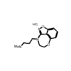 CNCCCN1CCOc2cccc3onc1c23.Cl